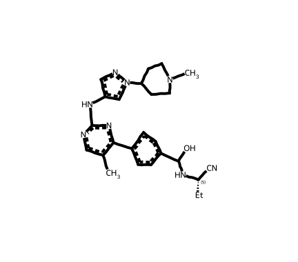 CC[C@@H](C#N)NC(O)c1ccc(-c2nc(Nc3cnn(C4CCN(C)CC4)c3)ncc2C)cc1